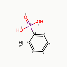 O=P(O)(O)c1ccccc1.[Hf]